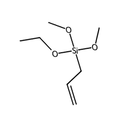 C=CC[Si](OC)(OC)OCC